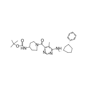 Cc1c(NC[C@H]2CCC[C@@H](c3ccccc3)C2)ncnc1C(=O)N1CCC(NC(=O)OC(C)(C)C)CC1